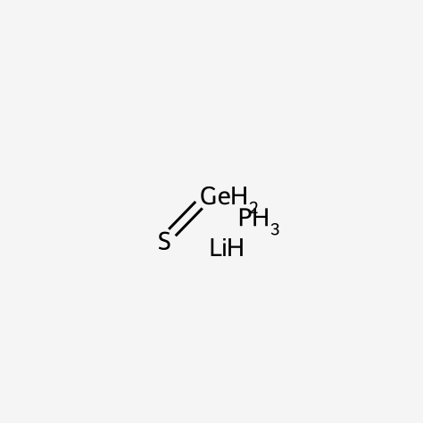 P.[LiH].[S]=[GeH2]